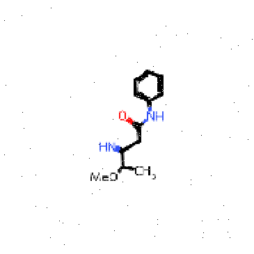 COC(C)C(=N)CC(=O)Nc1ccccc1